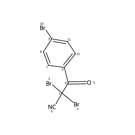 N#CC(Br)(Br)C(=O)c1ccc(Br)cc1